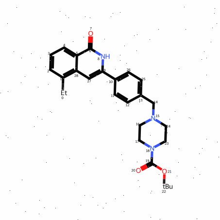 CCc1cccc2c(=O)[nH]c(-c3ccc(CN4CCN(C(=O)OC(C)(C)C)CC4)cc3)cc12